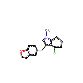 Cn1cc(Cc2ccc3occc3c2)c2c(Cl)cccc21